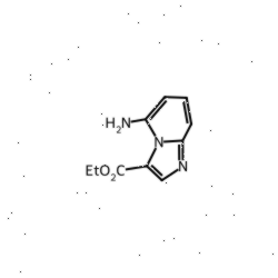 CCOC(=O)c1cnc2cccc(N)n12